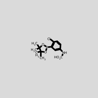 CC1(C)OB(c2cc(NC(=O)O)ccc2Cl)OC1(C)C